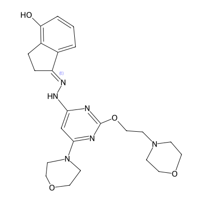 Oc1cccc2c1CC/C2=N\Nc1cc(N2CCOCC2)nc(OCCN2CCOCC2)n1